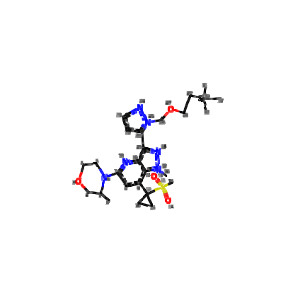 CC1COCCN1c1cc(C2(S(C)(=O)=O)CC2)c2c(n1)c(-c1ccnn1COCC[Si](C)(C)C)nn2C